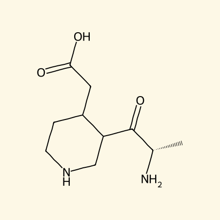 C[C@H](N)C(=O)C1CNCCC1CC(=O)O